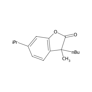 CCCCC1(C)C(=O)Oc2cc(C(C)C)ccc21